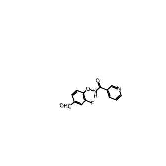 O=Cc1ccc(ONC(=O)c2cccnc2)c(F)c1